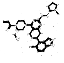 C=CC(=O)N1CCN(c2nc(OC[C@@H]3CCCN3C)nc3c2COC(c2c(Cl)ccc4[nH]ncc24)C3)C[C@@H]1CC#N